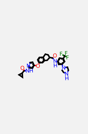 O=C(Nc1cc(N2CCNCC2)cc(C(F)(F)F)c1)C1CCc2ccc(Oc3ccnc(NC(=O)C4CC4)c3)cc2C1